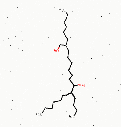 CCCCCCC(CO)CCCCCCC(O)C(CCCC)CCCCCC